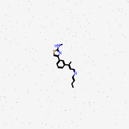 CC/C=C/N=C\C=C(/C)c1cccc(-c2csc(NC)n2)c1